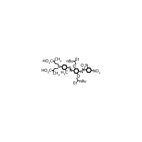 C=C(CCN(CCC(=C)C(=O)O)c1ccc(N=Nc2cc(OCC(CC)CCCC)c(N=Nc3ccc([N+](=O)[O-])cc3[N+](=O)[O-])cc2OCC(CC)CCCC)c(C)c1)C(=O)O